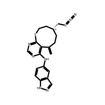 C=C1CC[C@@H](CN=[N+]=[N-])CCSc2ncnc(Nc3ccc4[nH]ncc4c3)c21